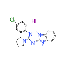 Cn1c(=NC(=Nc2ccc(Cl)cc2)N2CCCC2)n(C)c2ccccc21.I